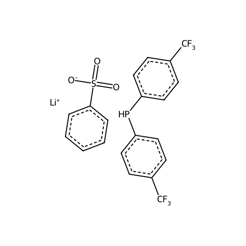 FC(F)(F)c1ccc(Pc2ccc(C(F)(F)F)cc2)cc1.O=S(=O)([O-])c1ccccc1.[Li+]